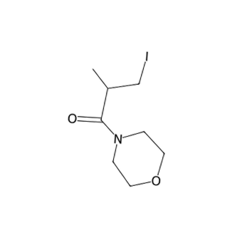 CC(CI)C(=O)N1CCOCC1